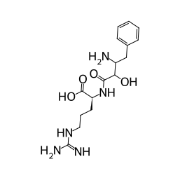 N=C(N)NCCC[C@H](NC(=O)C(O)C(N)Cc1ccccc1)C(=O)O